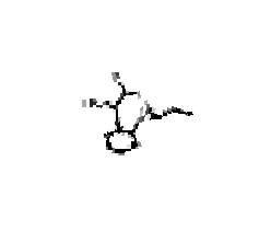 C=CCOc1ccccc1C(O)C(F)F